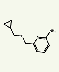 Nc1cccc(COCC2CC2)n1